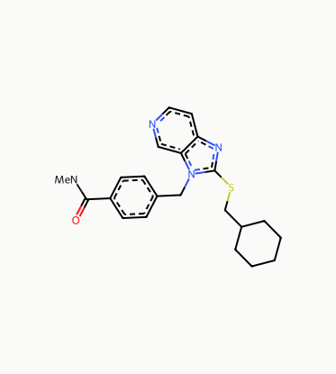 CNC(=O)c1ccc(Cn2c(SCC3CCCCC3)nc3ccncc32)cc1